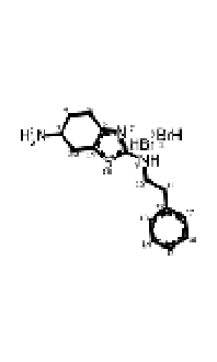 Br.Br.NC1CCc2nc(NCCc3ccccc3)sc2C1